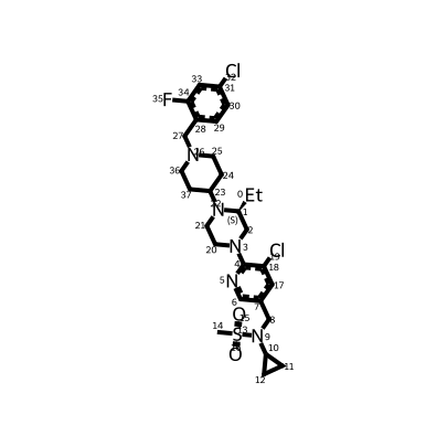 CC[C@H]1CN(c2ncc(CN(C3CC3)S(C)(=O)=O)cc2Cl)CCN1C1CCN(Cc2ccc(Cl)cc2F)CC1